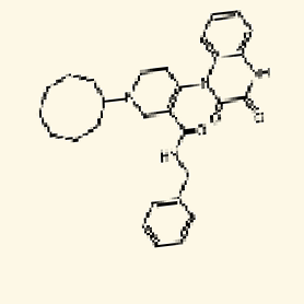 O=C(NCc1ccccc1)C1=C(n2c(=O)c(=O)[nH]c3ccccc32)CCN(C2CCCCCCC2)C1